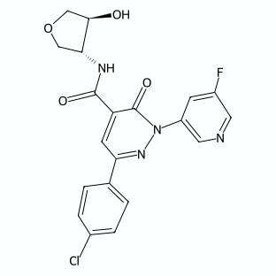 O=C(N[C@@H]1COC[C@H]1O)c1cc(-c2ccc(Cl)cc2)nn(-c2cncc(F)c2)c1=O